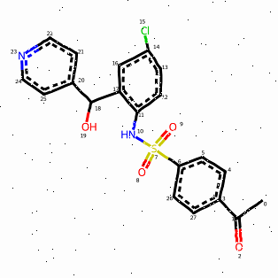 CC(=O)c1ccc(S(=O)(=O)Nc2ccc(Cl)cc2C(O)c2ccncc2)cc1